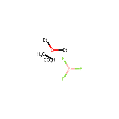 CC(=O)O.CCOCC.FB(F)F